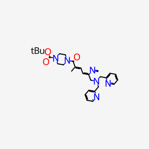 C=N/C(=C\C=C(/C)C(=O)N1CCN(C(=O)OC(C)(C)C)CC1)CN(Cc1ccccn1)Cc1ccccn1